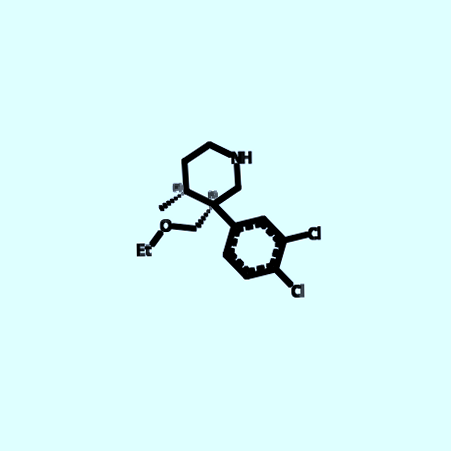 CCOC[C@@]1(c2ccc(Cl)c(Cl)c2)CNCC[C@H]1C